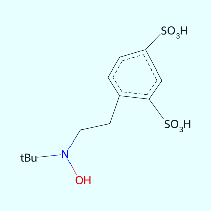 CC(C)(C)N(O)CCc1ccc(S(=O)(=O)O)cc1S(=O)(=O)O